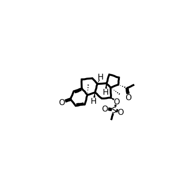 CC(=O)[C@H]1CC[C@H]2[C@@H]3CCC4=CC(=O)C=C[C@]4(C)[C@H]3C[C@H](OS(C)(=O)=O)[C@]12C